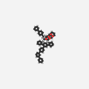 c1ccc(-c2ccc(-c3nc(-c4ccccc4)nc(-n4c5ccccc5c5c(-c6ccc(-c7cccc(-c8ccccc8)c7)cc6)cc6c7ccccc7n(-c7cccc(-c8ccccc8)c7)c6c54)n3)cc2)cc1